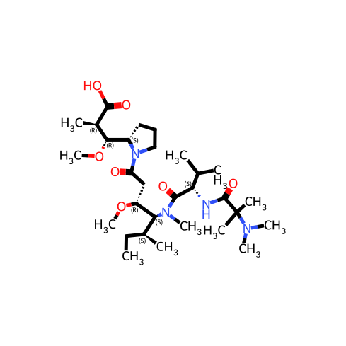 CC[C@H](C)[C@@H]([C@@H](CC(=O)N1CCC[C@H]1[C@H](OC)[C@@H](C)C(=O)O)OC)N(C)C(=O)[C@@H](NC(=O)C(C)(C)N(C)C)C(C)C